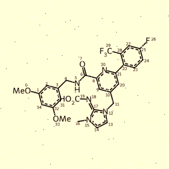 COc1cc(CNC(=O)c2cc(Cn3ccn(C)c3=NC(=O)O)cc(-c3ccc(F)cc3C(F)(F)F)n2)cc(OC)c1